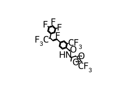 CC(CS(=O)(=O)CC(F)(F)F)NC(=O)c1ccc(/C(F)=C/C(c2cc(F)c(F)c(F)c2)C(F)(F)F)cc1C(F)(F)F